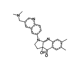 Cc1cc2c(cc1C)C(=O)C1(O)CCN(c3ccc4ncc(CN(C)C)cc4c3)C1=N2